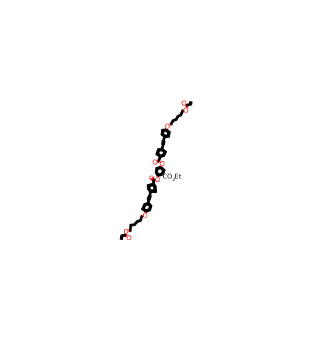 C=CC(=O)OCCCCCCOc1ccc(C#Cc2ccc(C(=O)Oc3ccc(OC(=O)c4ccc(C#Cc5ccc(OCCCCCCOC(=O)C=C)cc5)cc4)c(C(=O)OCC)c3)cc2)cc1